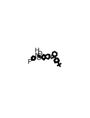 CC(C)(C)c1ccc(C2(CN3CCc4cc(S(=O)(=O)Nc5ccc(F)cc5)ccc4C3)CCCCC2)cc1